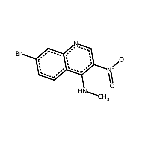 CNc1c([N+](=O)[O-])cnc2cc(Br)ccc12